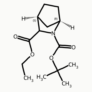 CCOC(=O)C1[C@H]2CC[C@H](C2)N1C(=O)OC(C)(C)C